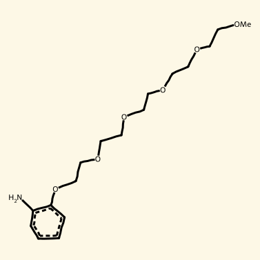 COCCOCCOCCOCCOCCOc1ccccc1N